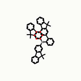 CC1(C)c2ccccc2-c2ccc(N(c3ccc4c(c3)C(C)(C)c3ccccc3-4)c3ccccc3-c3cc4c(c5ccccc35)-c3ccccc3C4(C)C)cc21